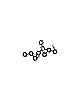 N#Cc1ccccc1-c1ccc(-c2nc(-c3ccccc3)nc(-c3ccc4c(c3)oc3cccc(-c5cccc(-c6ccccc6)c5)c34)n2)c(-c2ccccc2)c1